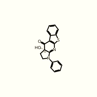 O=C1c2c(sc3ccccc23)N=C2N(c3ccccc3)CC[C@@]12O